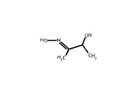 C/C(=N\O)C(C)O